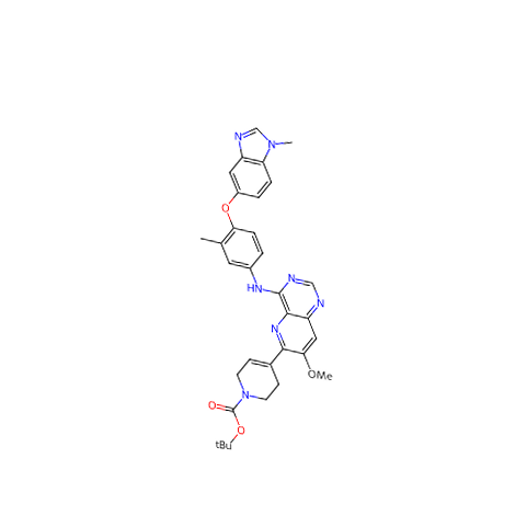 COc1cc2ncnc(Nc3ccc(Oc4ccc5c(c4)ncn5C)c(C)c3)c2nc1C1=CCN(C(=O)OC(C)(C)C)CC1